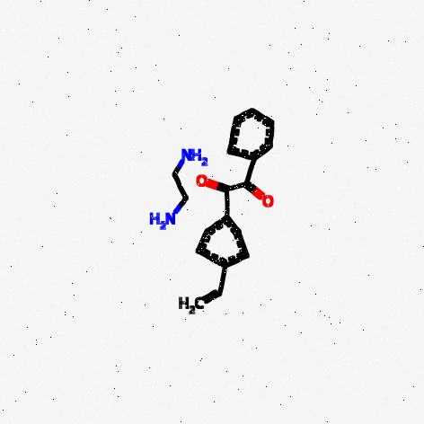 C=Cc1ccc(C(=O)C(=O)c2ccccc2)cc1.NCCN